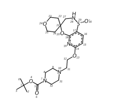 CC(C)(C)OC(=O)N1CCN(CCOc2ccc3c(n2)OC2(CCOCC2)CN[S+]3[O-])CC1